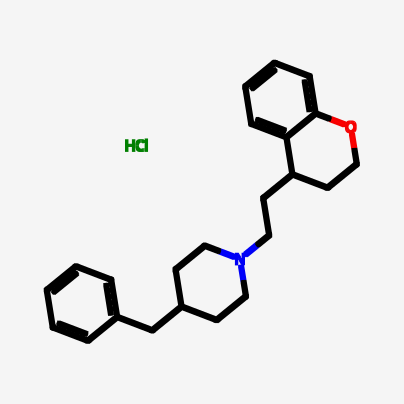 Cl.c1ccc(CC2CCN(CCC3CCOc4ccccc43)CC2)cc1